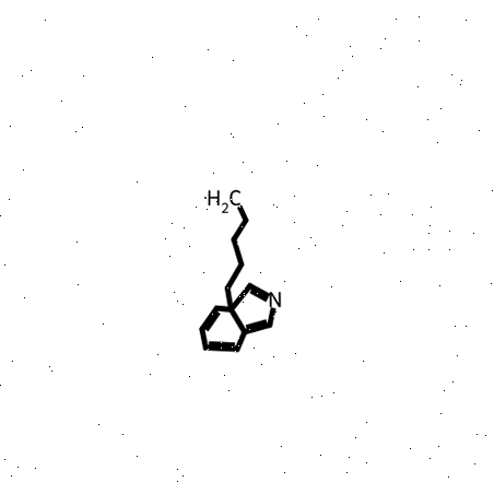 [CH2]CCCCC12C=CC=CC1=CN=C2